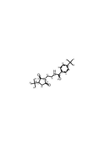 CC(C)(C)c1ccc(C(=O)NCCN2C(=O)CC(C(C)(C)C)C2=O)cc1